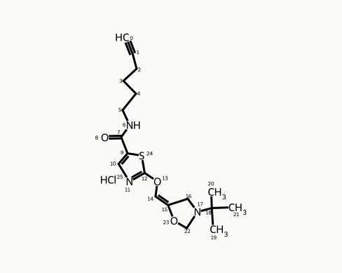 C#CCCCCNC(=O)c1cnc(OC=C2CN(C(C)(C)C)CO2)s1.Cl